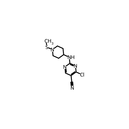 CSN1CCC(Nc2ncc(C#N)c(Cl)n2)CC1